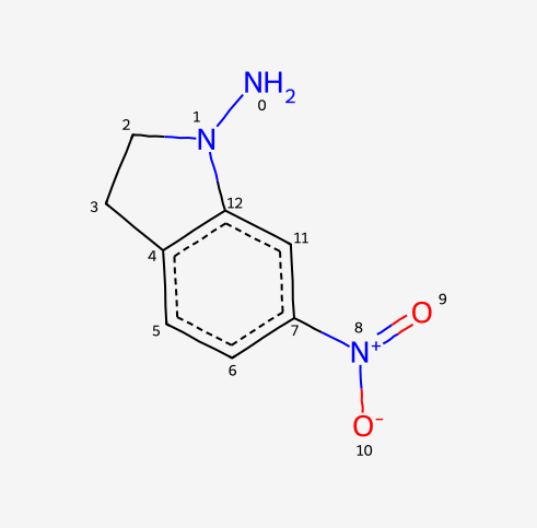 NN1CCc2ccc([N+](=O)[O-])cc21